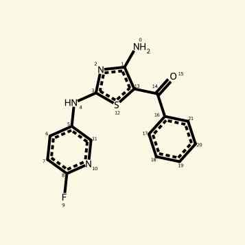 Nc1nc(Nc2ccc(F)nc2)sc1C(=O)c1ccccc1